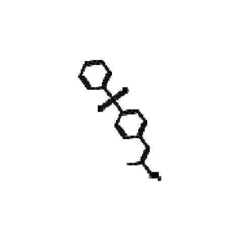 C/C(=C\c1ccc(S(=O)(=O)c2ccccc2)cc1)[N+](=O)[O-]